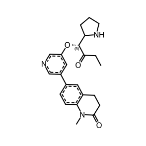 CCC(=O)[C@H](Oc1cncc(-c2ccc3c(c2)CCC(=O)N3C)c1)C1CCCN1